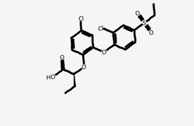 CC[C@H](Oc1ccc(Cl)cc1Oc1ccc(S(=O)(=O)CC)cc1Cl)C(=O)O